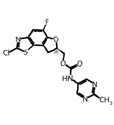 Cc1ncc(NC(=O)OC[C@H]2Cc3c(c(F)cc4nc(Cl)sc34)O2)cn1